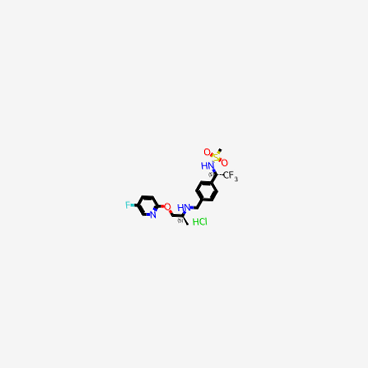 C[C@@H](COc1ccc(F)cn1)NCc1ccc([C@H](NS(C)(=O)=O)C(F)(F)F)cc1.Cl